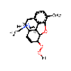 CCOOC1C=CC2[C@H]3Cc4ccc(OC(C)=O)c5c4[C@@]2(CCN3C)C1O5